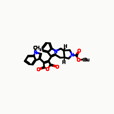 Cn1cc(C2=C(c3c4n(c5ccccc35)C[C@@H]3CN(C(=O)OC(C)(C)C)C[C@H]3C4)C(=O)OC2=O)c2ccccc21